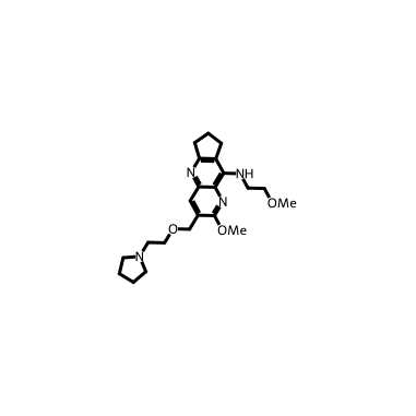 COCCNc1c2c(nc3cc(COCCN4CCCC4)c(OC)nc13)CCC2